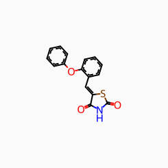 O=C1NC(=O)/C(=C/c2ccccc2Oc2ccccc2)S1